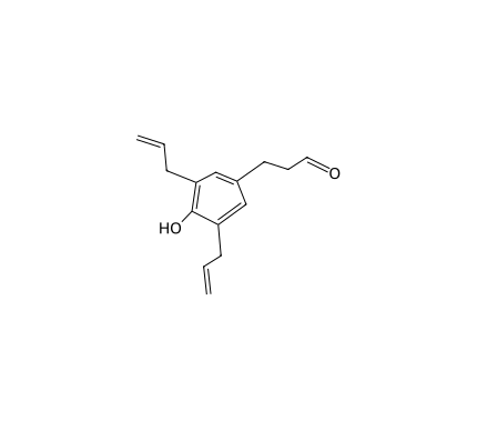 C=CCc1cc(CCC=O)cc(CC=C)c1O